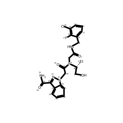 CC[C@H](CO)N(CC(=O)NCc1cccc(Cl)c1F)C(=O)Cn1nc(C(N)=O)c2ccccc21